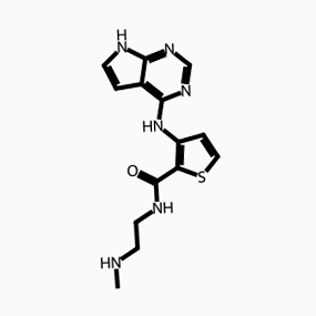 CNCCNC(=O)c1sccc1Nc1ncnc2[nH]ccc12